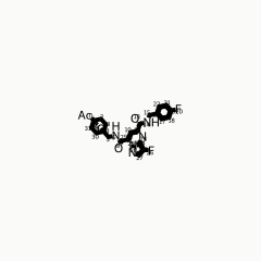 CC(=O)C12CCC(CNC(=O)c3cc(C(=O)NCc4ccc(F)cc4)nc4c(F)cnn34)(CC1)CC2